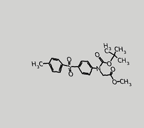 COC(=O)CN(C(=O)OC(C)(C)C)c1ccc(S(=O)(=O)c2ccc(C)cc2)cc1